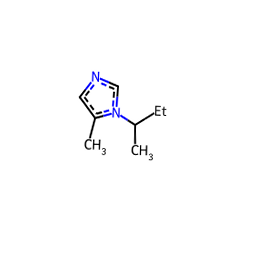 CCC(C)n1cncc1C